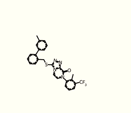 Cc1cccc(-c2ccccc2CSc2nnc3c(=O)n(-c4cccc(C(F)(F)F)c4C)ccn23)c1